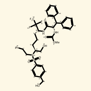 COC(=O)N[C@H](C(=O)N[C@H](CCC[C@@H](CO)N(CCC(C)C)S(=O)(=O)c1ccc(CO)cc1)C(F)(F)C(F)(F)F)C(c1ccccc1)c1ccccc1